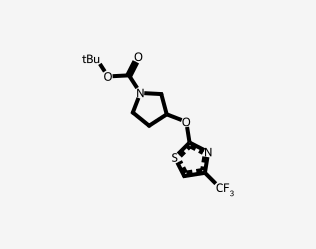 CC(C)(C)OC(=O)N1CCC(Oc2nc(C(F)(F)F)cs2)C1